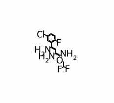 N/C(=C\C(N)=C(/N)OCC(F)F)c1cc(Cl)ccc1F